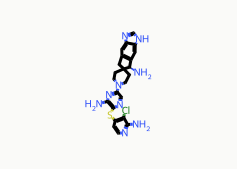 Nc1nc(N2CCC3(CC2)Cc2cc4nc[nH]c4cc2[C@H]3N)cnc1Sc1ccnc(N)c1Cl